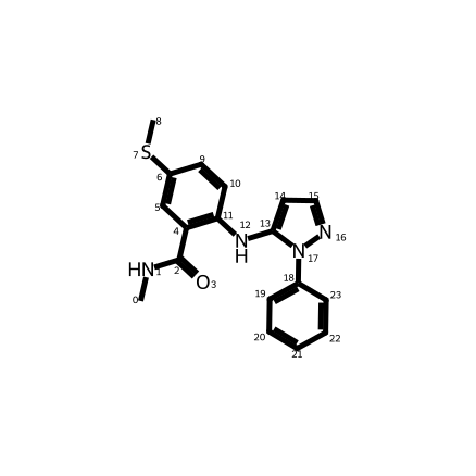 CNC(=O)c1cc(SC)ccc1Nc1ccnn1-c1ccccc1